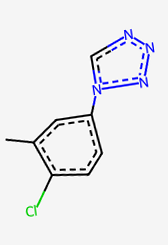 Cc1cc(-n2cnnn2)ccc1Cl